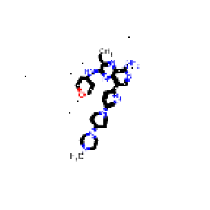 CCc1nc2c(N)ncc(-c3ccc(N4CCC(N5CCN(C)CC5)CC4)cn3)c2nc1NC1CCOCC1